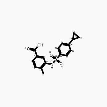 Cc1ccc(C(=O)O)cc1NS(=O)(=O)c1ccc(C2CC2)cc1